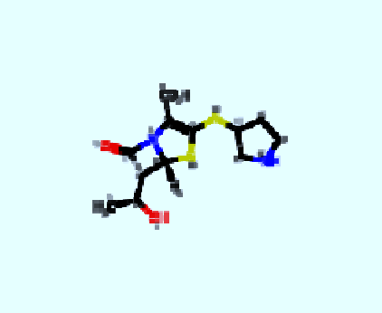 C[C@H](O)[C@@H]1C(=O)N2C(C(=O)O)=C(SC3CCNC3)S[C@H]12